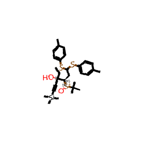 CC[C@](O)(C#C[Si](C)(C)C)[C@@H](CC(Sc1ccc(C)cc1)Sc1ccc(C)cc1)[S@@+]([O-])C(C)(C)C